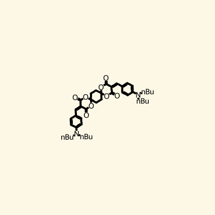 CCCCN(CCCC)c1ccc(C=C2C(=O)OC3(CCC4(CC3)OC(=O)C(=Cc3ccc(N(CCCC)CCCC)cc3)C(=O)O4)OC2=O)cc1